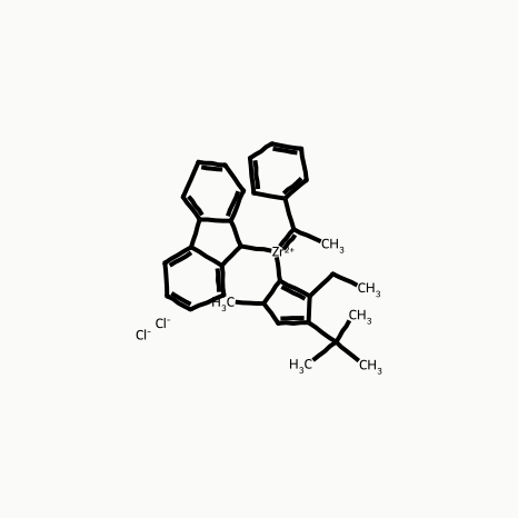 CCC1=[C](/[Zr+2](=[C](\C)c2ccccc2)[CH]2c3ccccc3-c3ccccc32)C(C)C=C1C(C)(C)C.[Cl-].[Cl-]